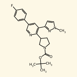 Cn1ccc(-c2cc(-c3ccc(F)cc3)cnc2C2CCN(C(=O)OC(C)(C)C)C2)n1